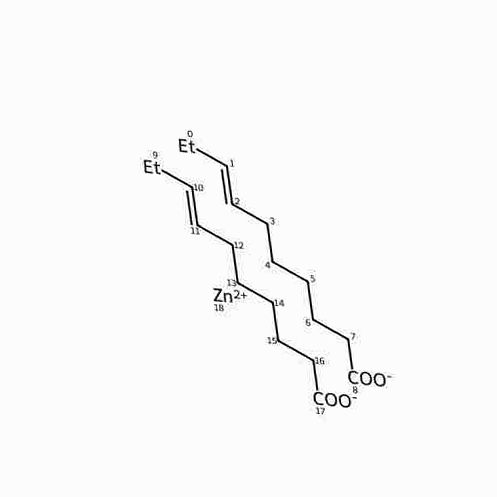 CCC=CCCCCCC(=O)[O-].CCC=CCCCCCC(=O)[O-].[Zn+2]